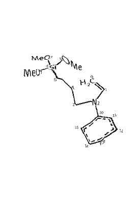 C=CN(CCC[Si](OC)(OC)OC)c1ccccc1